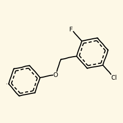 Fc1ccc(Cl)cc1COc1cc[c]cc1